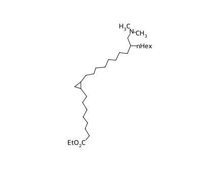 CCCCCCC(CCCCCCCCC1CC1CCCCCCCC(=O)OCC)CN(C)C